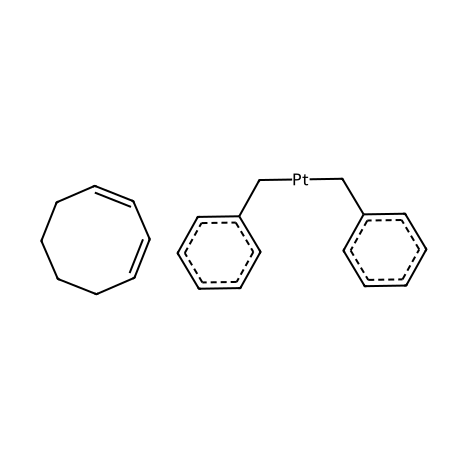 C1=C\CCCC\C=C/1.c1ccc([CH2][Pt][CH2]c2ccccc2)cc1